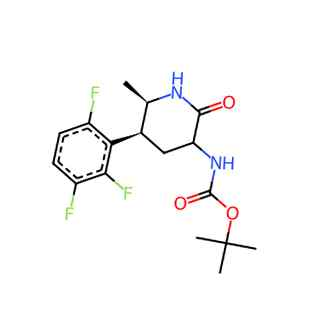 C[C@H]1NC(=O)C(NC(=O)OC(C)(C)C)C[C@H]1c1c(F)ccc(F)c1F